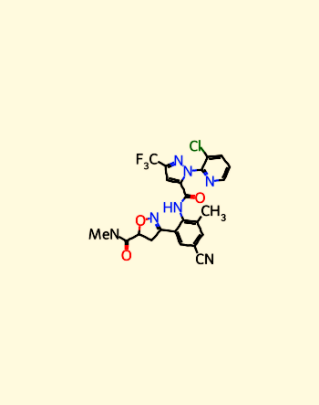 CNC(=O)C1CC(c2cc(C#N)cc(C)c2NC(=O)c2cc(C(F)(F)F)nn2-c2ncccc2Cl)=NO1